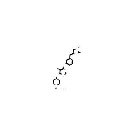 Cc1c(Oc2cccc(/C=C3\SC(=O)N(C(C)C)C3=O)c2)ncnc1OC1CCN(C(=O)O)CC1